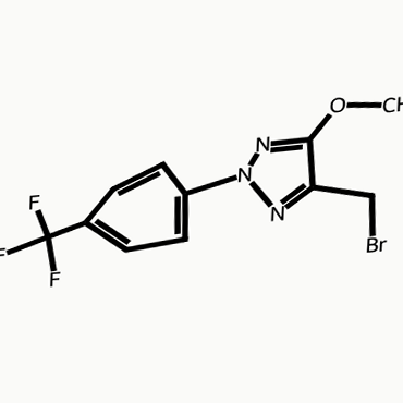 COc1nn(-c2ccc(C(F)(F)F)cc2)nc1CBr